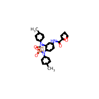 Cc1ccc(N(c2ccc(NC(=O)c3ccco3)cc2N(c2ccc(C)cc2)[SH](=O)=O)[SH](=O)=O)cc1